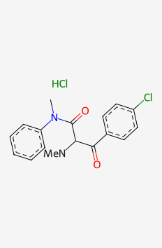 CNC(C(=O)c1ccc(Cl)cc1)C(=O)N(C)c1ccccc1.Cl